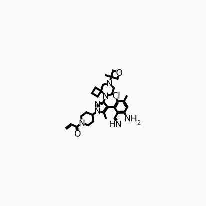 C=CC(=O)N1CCC(n2nc(N3CCN(C4(C)COC4)CC34CCC4)c(-c3c(Cl)c(C)cc(N)c3C=N)c2C)CC1